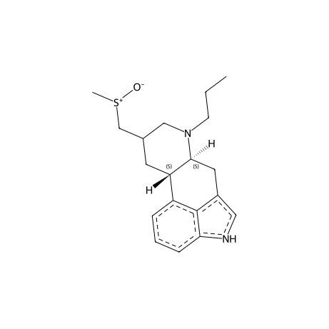 CCCN1CC(C[S+](C)[O-])C[C@H]2c3cccc4[nH]cc(c34)C[C@@H]21